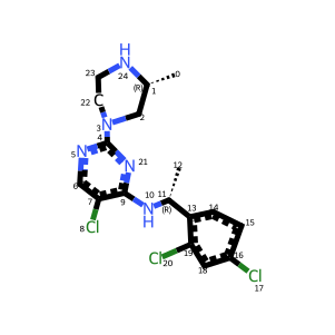 C[C@@H]1CN(c2ncc(Cl)c(N[C@H](C)c3ccc(Cl)cc3Cl)n2)CCN1